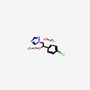 CCCCCOC(Cn1cncn1)c1ccc(Cl)cc1.O=[N+]([O-])O